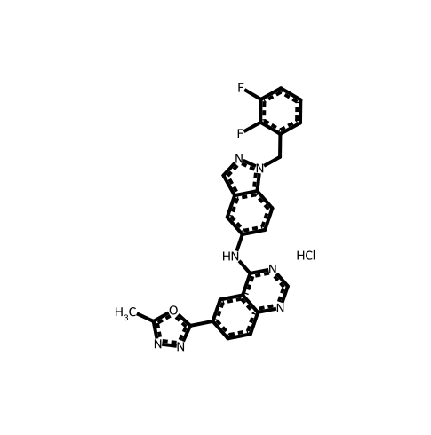 Cc1nnc(-c2ccc3ncnc(Nc4ccc5c(cnn5Cc5cccc(F)c5F)c4)c3c2)o1.Cl